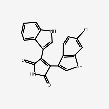 O=C1NC(=O)C(c2c[nH]c3cc(Cl)ccc23)=C1c1c[nH]c2ccccc12